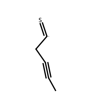 CC#CC[C]=S